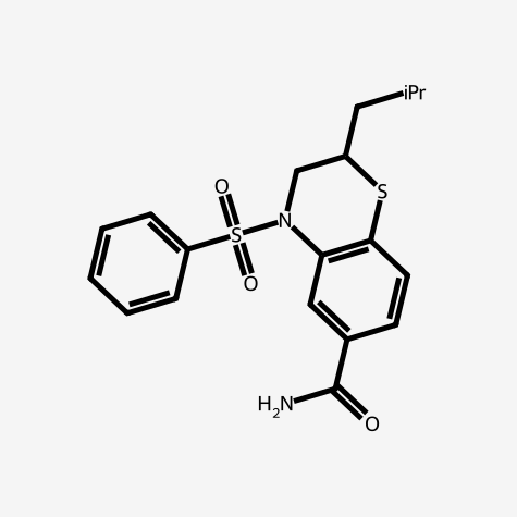 CC(C)CC1CN(S(=O)(=O)c2ccccc2)c2cc(C(N)=O)ccc2S1